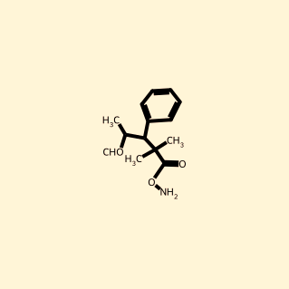 CC(C=O)C(c1ccccc1)C(C)(C)C(=O)ON